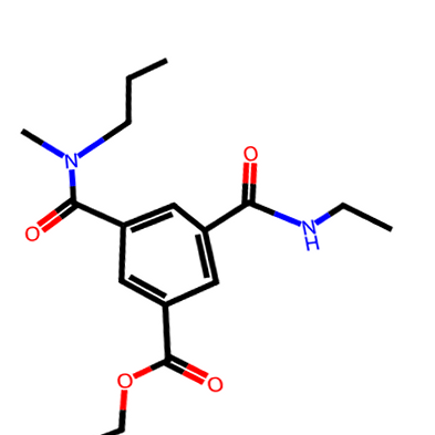 CCCN(C)C(=O)c1cc(C(=O)NCC)cc(C(=O)OCC)c1